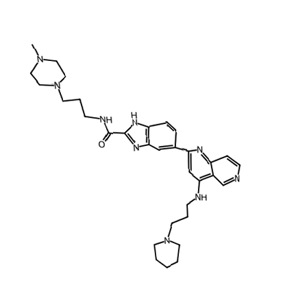 CN1CCN(CCCNC(=O)c2nc3cc(-c4cc(NCCCN5CCCCC5)c5cnccc5n4)ccc3[nH]2)CC1